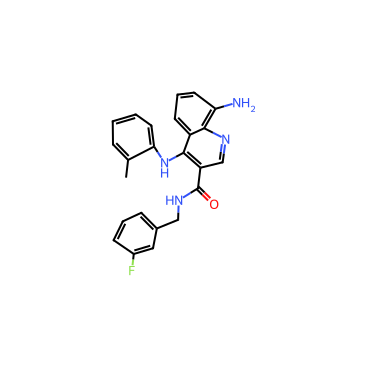 Cc1ccccc1Nc1c(C(=O)NCc2cccc(F)c2)cnc2c(N)cccc12